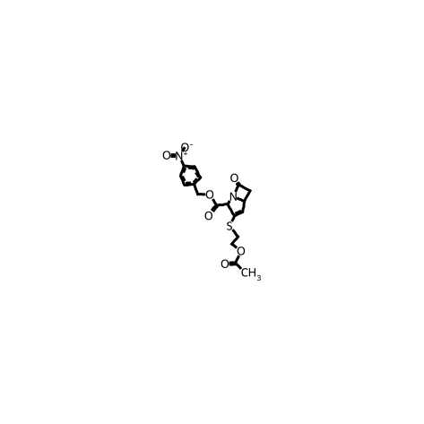 CC(=O)OCCSC1=CC2CC(=O)N2C1C(=O)OCc1ccc([N+](=O)[O-])cc1